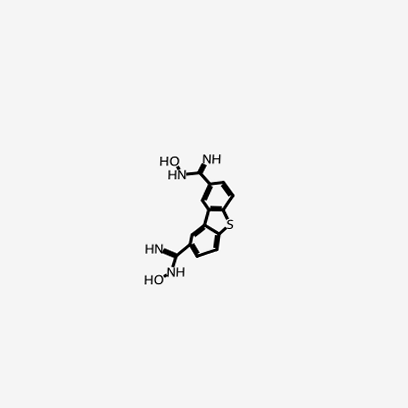 N=C(NO)c1ccc2sc3ccc(C(=N)NO)cc3c2c1